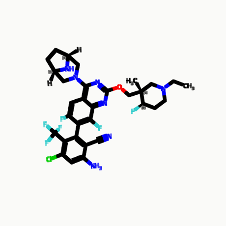 CCN1CC[C@@H](F)[C@](C)(COc2nc(N3C[C@H]4CC[C@@H](C3)N4)c3cc(F)c(-c4c(C#N)c(N)cc(Cl)c4C(F)(F)F)c(F)c3n2)C1